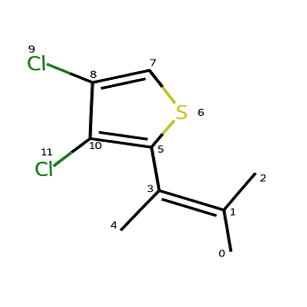 CC(C)=C(C)c1scc(Cl)c1Cl